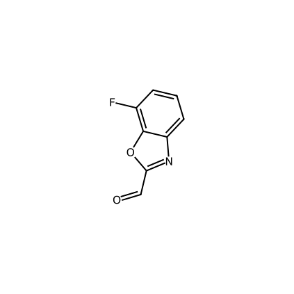 O=Cc1nc2cccc(F)c2o1